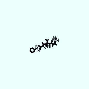 Cc1c(-c2[nH]c3sc(-c4cnc(C5CCCCC5)nc4)c(C)c3c2C(C)C)cn2ncnc2c1C